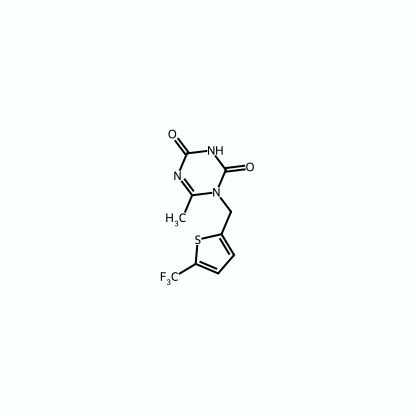 Cc1nc(=O)[nH]c(=O)n1Cc1ccc(C(F)(F)F)s1